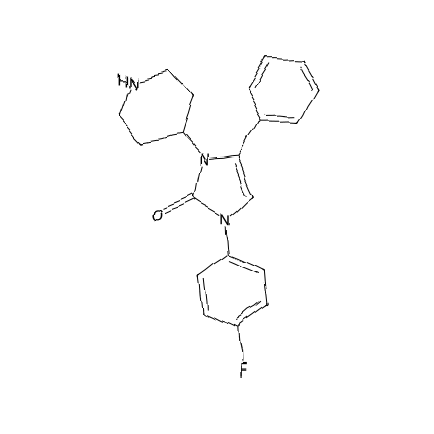 O=c1n(-c2ccc(F)cc2)cc(-c2ccccc2)n1C1CCNCC1